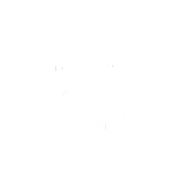 CC1=C(O)C(=O)c2cc(Cl)c(Cl)cc2C1=O